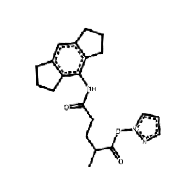 CC(CCC(=O)Nc1c2c(cc3c1CCC3)CCC2)C(=O)On1cccn1